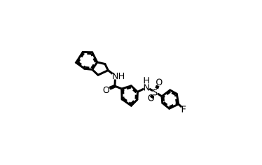 O=C(NC1Cc2ccccc2C1)c1cccc(NS(=O)(=O)c2ccc(F)cc2)c1